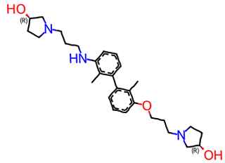 Cc1c(NCCCN2CC[C@@H](O)C2)cccc1-c1cccc(OCCCN2CC[C@@H](O)C2)c1C